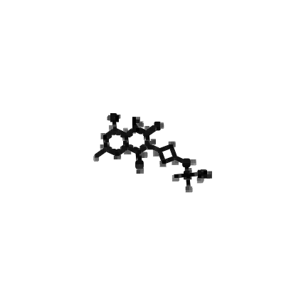 Cc1cc(Br)c2[nH]c(=S)n(C3CC(O[Si](C)(C)C(C)(C)C)C3)c(=O)c2c1